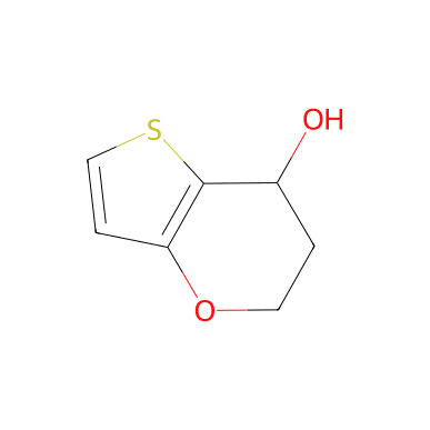 OC1CCOc2ccsc21